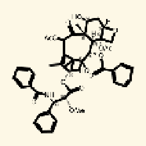 CO[C@@H](C(=O)O[C@H]1C[C@@]2(O)[C@@H](OC(=O)c3ccccc3)[C@@H]3[C@]4(OC(C)=O)CO[C@@H]4C[C@H](O)[C@@]3(C)C(=O)C(OC(C)=O)C(=C1C)C2(C)C)[C@@H](NC(=O)c1ccccc1)c1ccccc1